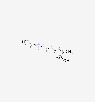 C=C/C=C/CCCCCC(C)C(=O)O